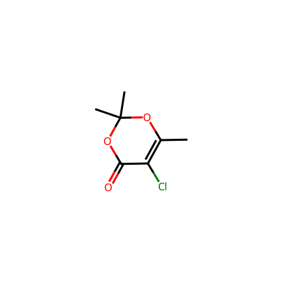 CC1=C(Cl)C(=O)OC(C)(C)O1